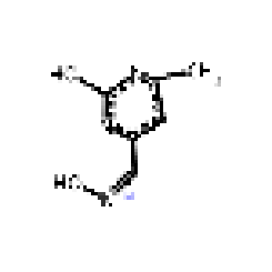 Cc1cc(/C=N\O)nc(O)n1